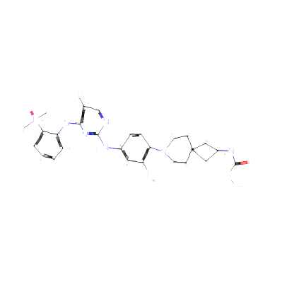 CC(C)(C)OC(=O)NC1CC2(CCN(c3ccc(Nc4ncc(Cl)c(Nc5ccccc5P(C)(C)=O)n4)cc3F)CC2)C1